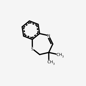 CC1(C)C=Nc2ccccc2SC1